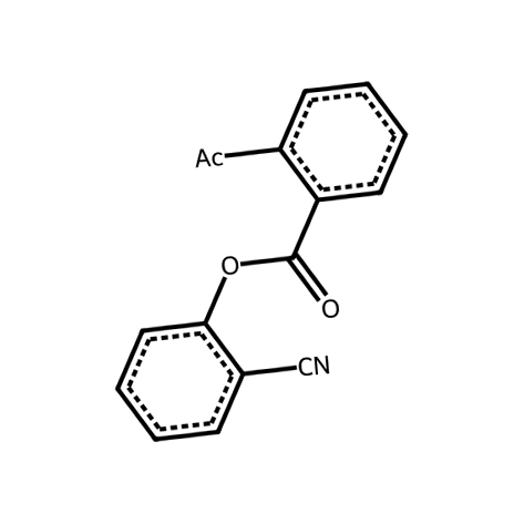 CC(=O)c1ccccc1C(=O)Oc1ccccc1C#N